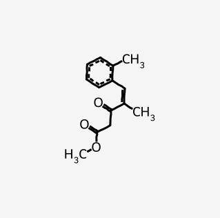 COC(=O)CC(=O)C(C)=Cc1ccccc1C